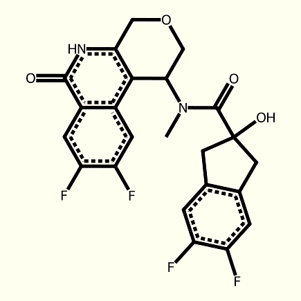 CN(C(=O)C1(O)Cc2cc(F)c(F)cc2C1)C1COCc2[nH]c(=O)c3cc(F)c(F)cc3c21